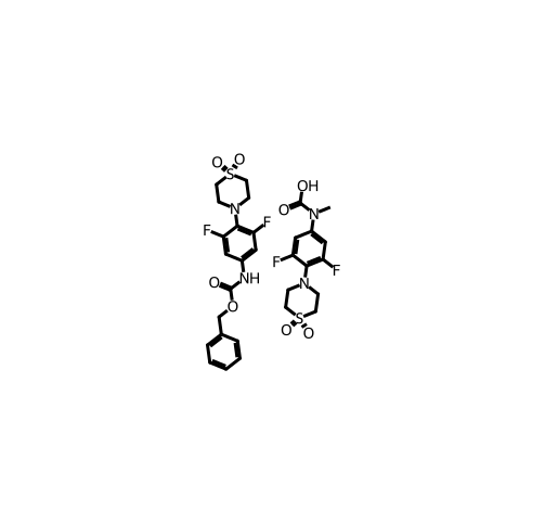 CN(C(=O)O)c1cc(F)c(N2CCS(=O)(=O)CC2)c(F)c1.O=C(Nc1cc(F)c(N2CCS(=O)(=O)CC2)c(F)c1)OCc1ccccc1